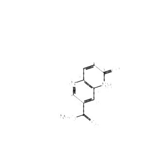 COC(=O)c1cnc2ccc(=O)[nH]c2c1